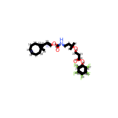 CC(C)(CCNC(=O)O/C=C/C1C2CC/C=C\CCC12C)OCCC(=O)Oc1c(F)c(F)c(F)c(F)c1F